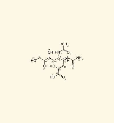 CC(=O)N[C@@H]1[C@@H](NC(N)=O)C=C(C(=O)O)O[C@H]1C(O)C(O)CO